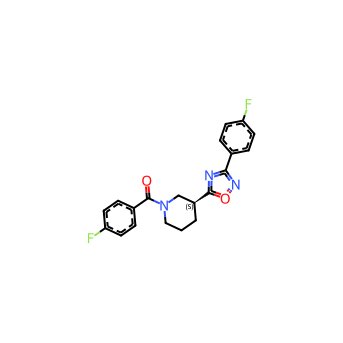 O=C(c1ccc(F)cc1)N1CCC[C@H](c2nc(-c3ccc(F)cc3)no2)C1